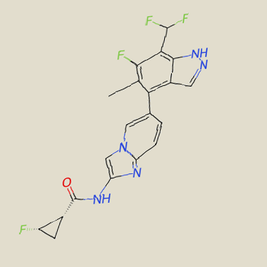 Cc1c(F)c(C(F)F)c2[nH]ncc2c1-c1ccc2nc(NC(=O)[C@@H]3C[C@@H]3F)cn2c1